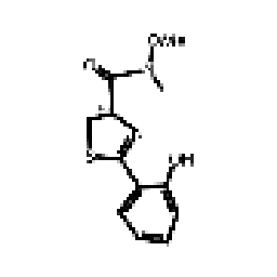 CON(C)C(=O)[C@@H]1CSC(c2ccccc2O)=N1